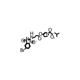 CO[C@@H](CC(C)C)C(=O)N1C=C(OC(=O)CCNc2n[n+]([O-])c3cc(Br)ccc3[n+]2[O-])CC1